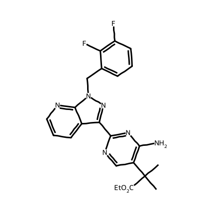 CCOC(=O)C(C)(C)c1cnc(-c2nn(Cc3cccc(F)c3F)c3ncccc23)nc1N